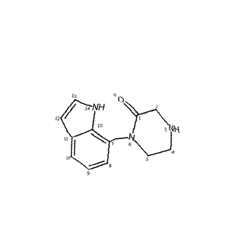 O=C1CNCCN1c1cccc2cc[nH]c12